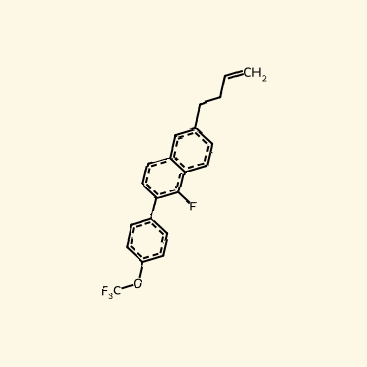 C=CCCc1ccc2c(F)c(-c3ccc(OC(F)(F)F)cc3)ccc2c1